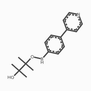 CC(C)(O)C(C)(C)OBc1ccc(-c2ccncc2)cc1